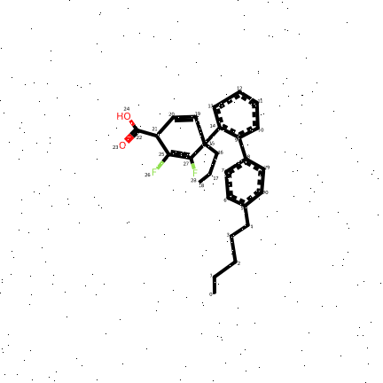 CCCCCc1ccc(-c2ccccc2C2(CCC)C=CC(C(=O)O)C(F)=C2F)cc1